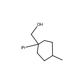 CC1CCC(CO)(C(C)C)CC1